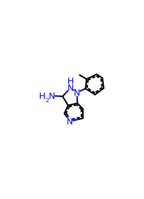 Cc1ccccc1N1NC(N)c2cnccc21